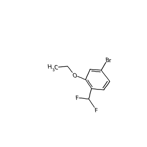 CCOc1cc(Br)ccc1C(F)F